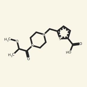 COC(C)C(=O)N1CCN(Cc2ccc(C(=O)O)s2)CC1